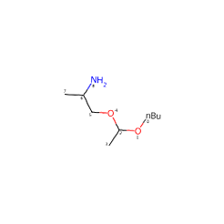 CCCCOC(C)OCC(C)N